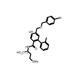 CSCC[C@H](NC(=O)c1ccc(COCc2ccc(C(C)C)cc2)cc1-c1ccccc1C)C(=O)O.[LiH]